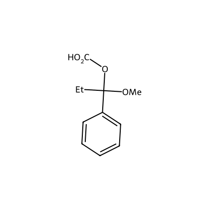 CCC(OC)(OC(=O)O)c1ccccc1